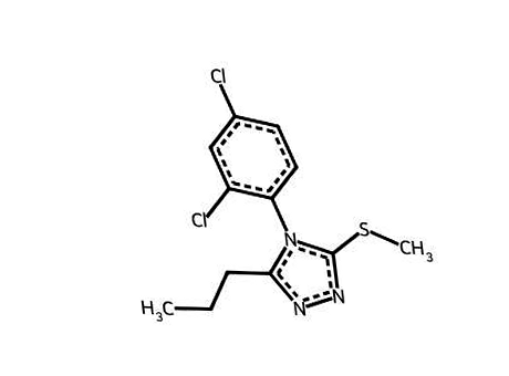 CCCc1nnc(SC)n1-c1ccc(Cl)cc1Cl